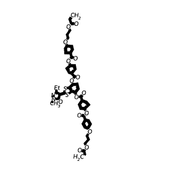 C=CC(=O)OCCCOc1ccc(C(=O)Oc2ccc(C(=O)Oc3ccc(OC(=O)c4ccc(OC(=O)c5ccc(OCCCOC(=O)C=C)cc5)cc4)c4c3SC(=C3C(=O)N(C)N=C3CC)S4)cc2)cc1